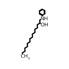 CCCCCCCCCCCCCCC(O)CNc1ccccc1